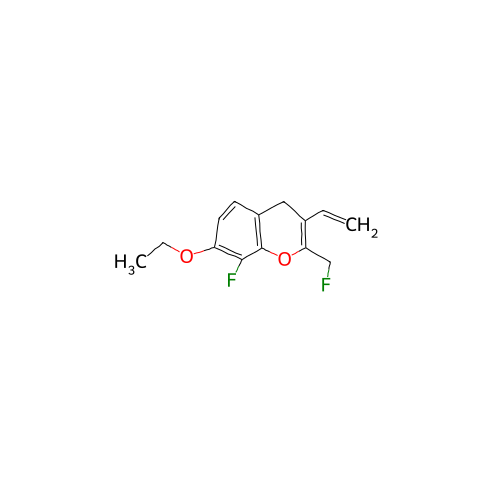 C=CC1=C(CF)Oc2c(ccc(OCC)c2F)C1